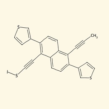 CC#Cc1c(-c2ccsc2)ccc2c(C#CSI)c(-c3ccsc3)ccc12